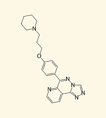 c1cnc2c(-c3ccc(OCCCN4CCCCC4)cc3)nn3cnnc3c2c1